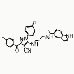 Cc1ccc(C(=O)c2nn(-c3ccc(Cl)cc3)c(NCCCNC(C)c3ccc4[nH]ccc4c3)c2C#N)cc1